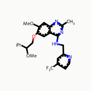 COc1cc2nc(C)nc(NCc3cc(C(F)(F)F)ccn3)c2cc1OCC(OC)C(C)C